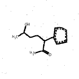 CC(O)CCC(C(N)=O)c1ccccc1